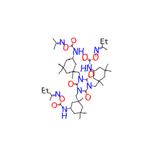 CC/C(C)=N/OC(=O)NC1CC(C)(C)CC(C)(Cn2c(=O)n(CC3(C)CC(NC(=O)ON=C(C)C)CC(C)(C)C3)c(=O)n(CC3(C)CC(NC(=O)O/N=C(\C)CC)CC(C)(C)C3)c2=O)C1